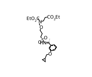 CCOC(=O)CCN(COCCCS(=O)(=O)N[C@H](C)c1cccc(OCC2CC2)c1)C(=O)OCC